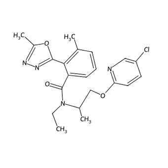 CCN(C(=O)c1cccc(C)c1-c1nnc(C)o1)C(C)COc1ccc(Cl)cn1